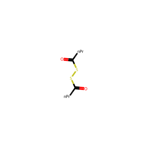 CCCC(=O)SSC(=O)CCC